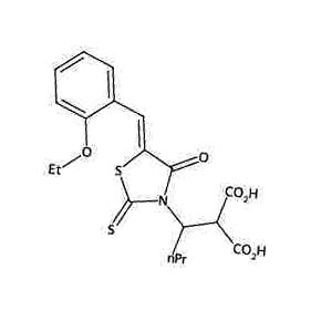 CCCC(C(C(=O)O)C(=O)O)N1C(=O)C(=Cc2ccccc2OCC)SC1=S